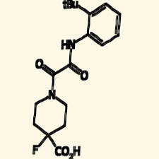 CC(C)(C)c1ccccc1NC(=O)C(=O)N1CCC(F)(C(=O)O)CC1